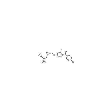 CN(CC1CC1COc1ccc(C(=O)c2ccc(Br)cc2)c(F)c1)C1CC1